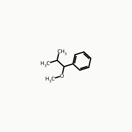 COC(c1ccccc1)C(C)C